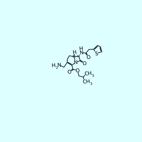 CC(C)COC(=O)C1=C(CN)CC[C@@H]2[C@H](NC(=O)Cc3cccs3)C(=O)N12